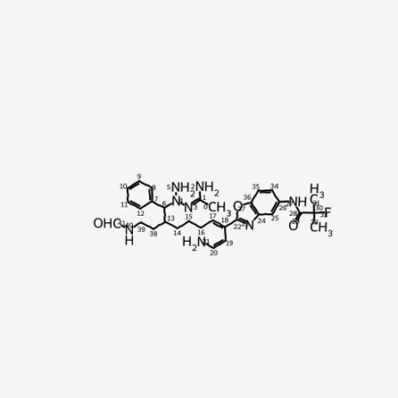 C/C(N)=N/N(N)C(c1ccccc1)C(CCC/C=C(\C=C/N)c1nc2cc(NC(=O)C(C)(C)F)ccc2o1)CCNC=O